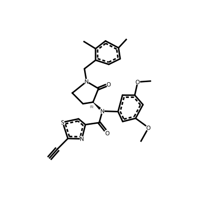 C#Cc1nc(C(=O)N(c2cc(OC)cc(OC)c2)[C@H]2CCN(Cc3ccc(C)cc3C)C2=O)cs1